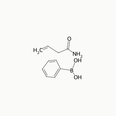 C=CCC(N)=O.OB(O)c1ccccc1